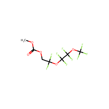 COC(=O)OCC(F)(F)OC(F)(F)C(F)(F)OC(F)(F)F